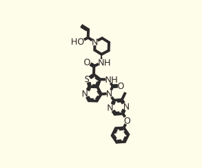 C=CC(O)N1CCC[C@@H](NC(=O)c2sc3nccc4c3c2NC(=O)N4c2ncc(Oc3ccccc3)nc2C)C1